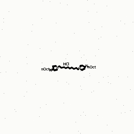 CCCCCCCCN=c1ccn(CCCCCCCCCCn2ccc(=NCCCCCCCC)cc2)cc1.Cl